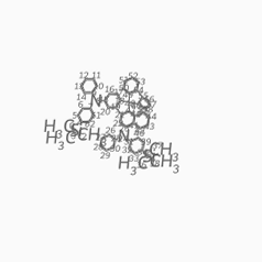 C[Si](C)(C)c1ccc(N(c2ccccc2)c2ccc3c(c2)-c2cc(N(c4ccccc4)c4ccc([Si](C)(C)C)cc4)c4ccccc4c2C32c3ccccc3-c3ccccc32)cc1